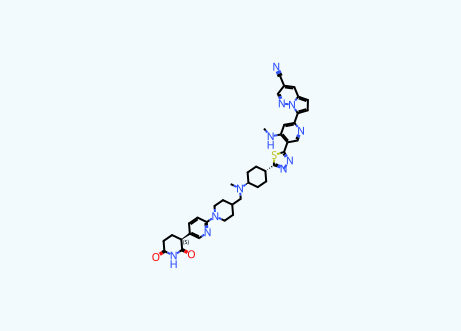 CNc1cc(-c2ccc3cc(C#N)cnn23)ncc1-c1nnc([C@H]2CC[C@H](N(C)CC3CCN(c4ccc([C@@H]5CCC(=O)NC5=O)cn4)CC3)CC2)s1